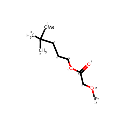 COC(C)(C)CCCOC(=O)COC(C)C